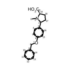 CN1C(c2ccc(OCc3ccccc3)cc2)CC[C@@H]1C(=O)O